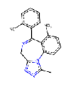 Cc1nnc2n1-c1cccc([N+](=O)[O-])c1C(c1ccccc1C#N)=NC2